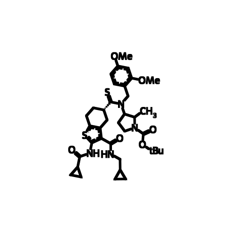 COc1ccc(CN(C(=S)[C@H]2CCc3sc(NC(=O)C4CC4)c(C(=O)NCC4CC4)c3C2)C2CCN(C(=O)OC(C)(C)C)C2C)c(OC)c1